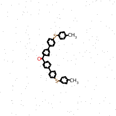 Cc1ccc(Sc2ccc(-c3ccc(C(=O)c4ccc(-c5ccc(Sc6ccc(C)cc6)cc5)cc4)cc3)cc2)cc1